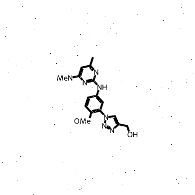 CNc1cc(C)nc(Nc2ccc(OC)c(-n3cc(CO)nn3)c2)n1